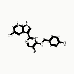 Fc1cnc(-c2c[nH]c3ncc(Cl)cc23)nc1OCc1ccc(Cl)cc1